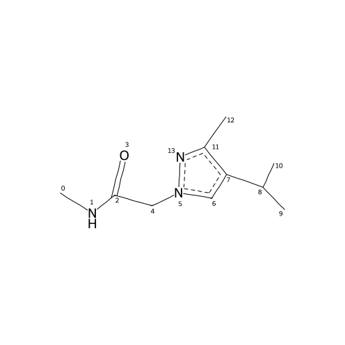 CNC(=O)Cn1cc(C(C)C)c(C)n1